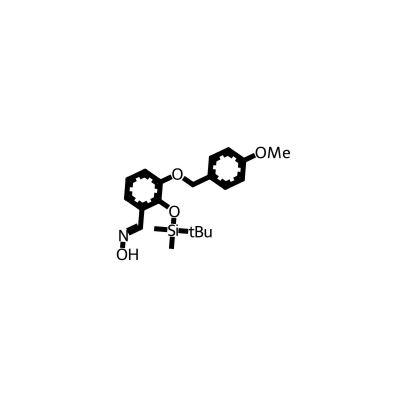 COc1ccc(COc2cccc(/C=N/O)c2O[Si](C)(C)C(C)(C)C)cc1